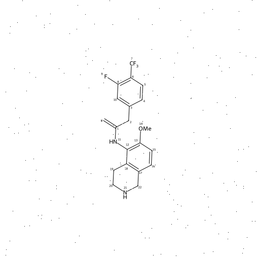 C=C(Cc1ccc(C(F)(F)F)c(F)c1)Nc1c(OC)ccc2c1CCNC2